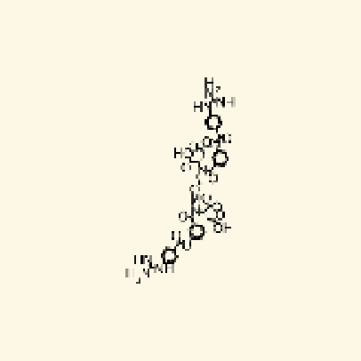 N=C(N)Nc1ccc(C(=O)Oc2cccc(C(=O)N(CCOCCN(C(=O)c3cccc(OC(=O)c4ccc(NC(=N)N)cc4)c3)[C@@H](CC(=O)O)C(=O)O)[C@@H](CC(=O)O)C(=O)O)c2)cc1